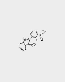 Cc1c(-n2[se]c3ccccc3c2=O)cccc1[N+](=O)[O-]